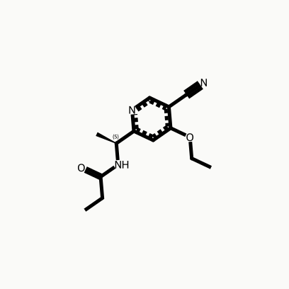 CCOc1cc([C@H](C)NC(=O)CC)ncc1C#N